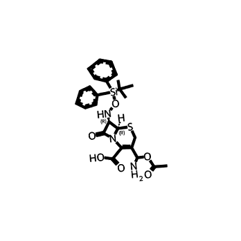 CC(=O)OC(N)C1=C(C(=O)O)N2C(=O)[C@@H](NO[Si](c3ccccc3)(c3ccccc3)C(C)(C)C)[C@H]2SC1